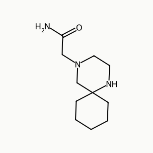 NC(=O)CN1CCNC2(CCCCC2)C1